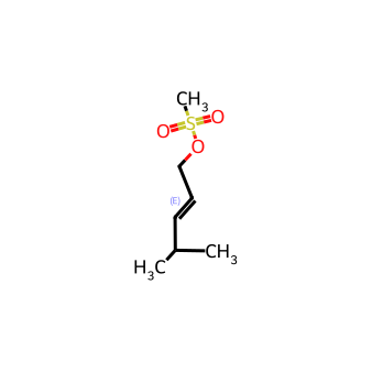 CC(C)/C=C/COS(C)(=O)=O